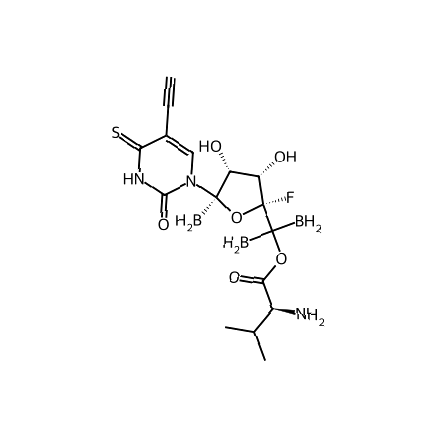 BC(B)(OC(=O)[C@@H](N)C(C)C)[C@@]1(F)O[C@@](B)(n2cc(C#C)c(=S)[nH]c2=O)[C@H](O)[C@@H]1O